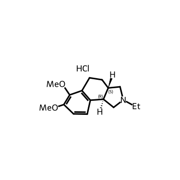 CCN1C[C@H]2CCc3c(ccc(OC)c3OC)[C@@H]2C1.Cl